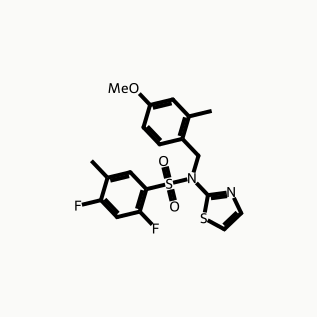 COc1ccc(CN(c2nccs2)S(=O)(=O)c2cc(C)c(F)cc2F)c(C)c1